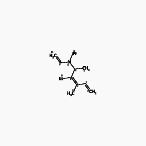 C=C/C(C)=C(/CC)C(C)N(C=C)C(C)C